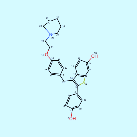 Oc1ccc(-c2sc3cc(O)ccc3c2Cc2ccc(OCCN3CCCCC3)cc2)cc1